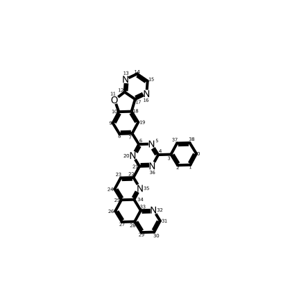 c1ccc(-c2nc(-c3ccc4oc5nccnc5c4c3)nc(-c3ccc4ccc5cccnc5c4n3)n2)cc1